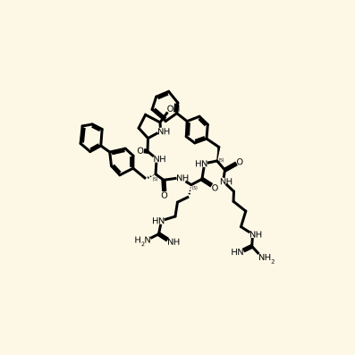 N=C(N)NCCCCNC(=O)[C@H](Cc1ccc(-c2ccccc2)cc1)NC(=O)[C@H](CCCNC(=N)N)NC(=O)[C@H](Cc1ccc(-c2ccccc2)cc1)NC(=O)C1CCC(O)N1